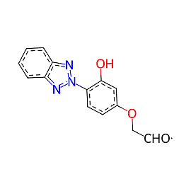 O=[C]COc1ccc(-n2nc3ccccc3n2)c(O)c1